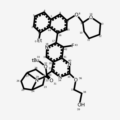 CCc1cccc2cc(OC3CCCCO3)cc(-c3ncc4c(N5CC6CCC(C5)N6C(=O)OC(C)(C)C)nc(OCCO)nc4c3F)c12